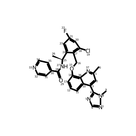 Cc1cc(-c2ncnn2C)c2cccc(OCc3c(Cl)cc(F)cc3[C@H](C)NC(=O)c3ccncc3)c2n1